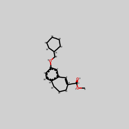 COC(=O)C1=Cc2cc(OCC3CCCCC3)ccc2CCC1